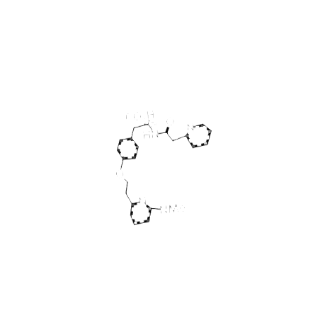 CNc1cccc(CCOc2ccc(C[C@H](NC(=O)Cc3ccccn3)C(=O)O)cc2)n1